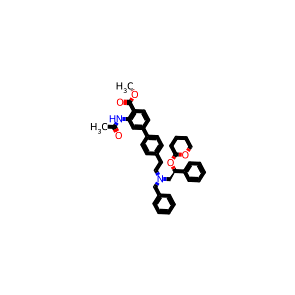 COC(=O)c1ccc(-c2ccc(CCN(Cc3ccccc3)C[C@@H](OC3CCCCO3)c3ccccc3)cc2)cc1NC(C)=O